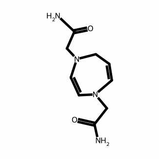 NC(=O)CN1C=CCN(CC(N)=O)C=C1